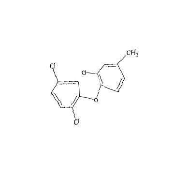 Cc1ccc(Oc2cc(Cl)ccc2Cl)c(Cl)c1